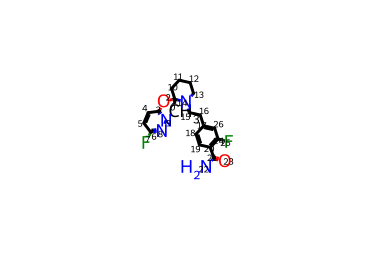 CC1(Oc2ccc(F)nn2)CCCCN1CCc1ccc(C(N)=O)c(F)c1